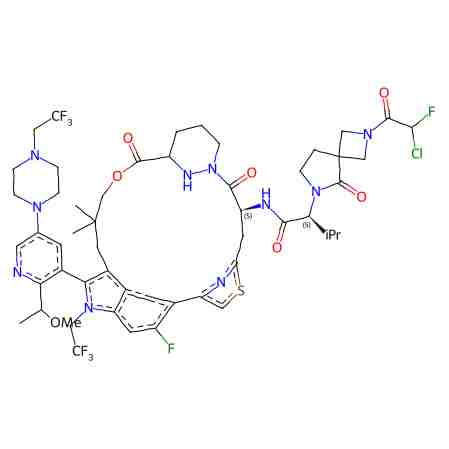 COC(C)c1ncc(N2CCN(CC(F)(F)F)CC2)cc1-c1c2c3cc(c(F)cc3n1CC(F)(F)F)-c1csc(n1)C[C@H](NC(=O)[C@H](C(C)C)N1CCC3(CN(C(=O)C(F)Cl)C3)C1=O)C(=O)N1CCCC(N1)C(=O)OCC(C)(C)C2